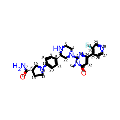 Cn1c(N2CCN[C@@H](c3ccc(N4CC[C@H](C(N)=O)C4)cc3)C2)nc(-c2ccncc2F)cc1=O